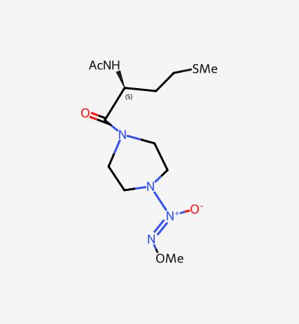 CON=[N+]([O-])N1CCN(C(=O)[C@H](CCSC)NC(C)=O)CC1